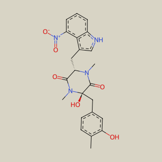 Cc1ccc(C[C@@]2(O)C(=O)N(C)[C@@H](Cc3c[nH]c4cccc([N+](=O)[O-])c34)C(=O)N2C)cc1O